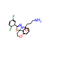 NCCCC(=O)N1N=C(C2C=C(F)C=CC2F)SC12CCOc1ccccc12